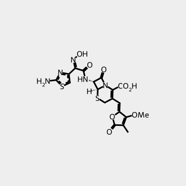 COC1=C(C)C(=O)O/C1=C\C1=C(C(=O)O)N2C(=O)[C@@H](NC(=O)/C(=N\O)c3csc(N)n3)[C@@H]2SC1